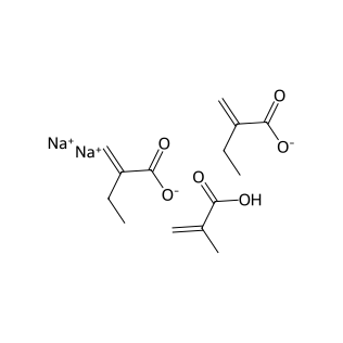 C=C(C)C(=O)O.C=C(CC)C(=O)[O-].C=C(CC)C(=O)[O-].[Na+].[Na+]